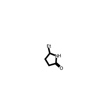 [CH2]CC1CCC(=O)N1